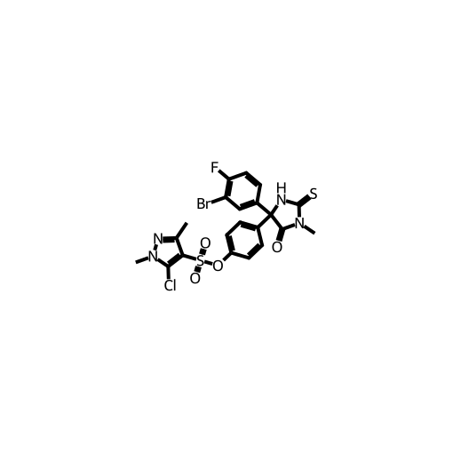 Cc1nn(C)c(Cl)c1S(=O)(=O)Oc1ccc(C2(c3ccc(F)c(Br)c3)NC(=S)N(C)C2=O)cc1